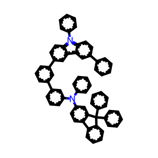 c1ccc(-c2ccc3c(c2)c2cc(-c4cccc(-c5cccc(N(c6ccccc6)c6ccc7c(c6)C(c6ccccc6)(c6ccccc6)c6ccccc6-7)c5)c4)ccc2n3-c2ccccc2)cc1